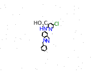 O=C(O)c1cc(Cl)cnc1Nc1ccc2c(cnn2Cc2ccccc2)c1